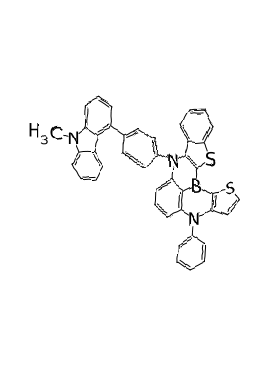 Cn1c2ccccc2c2c(-c3ccc(N4c5cccc6c5B(c5sccc5N6c5ccccc5)c5sc6ccccc6c54)cc3)cccc21